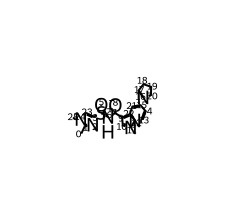 Cc1nc([S+]([O-])NC(=O)c2cnn3ccc(N4CCCC4)cc23)cn1C